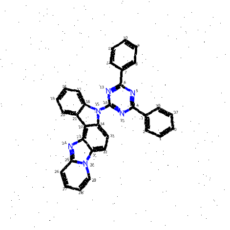 c1ccc(-c2nc(-c3ccccc3)nc(-n3c4ccccc4c4c5nc6ccccn6c5ccc43)n2)cc1